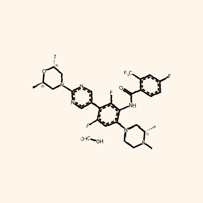 C[C@@H]1CN(c2ncc(-c3c(F)cc(N4CCN(C)[C@@H](C)C4)c(NC(=O)c4ccc(F)cc4C(F)(F)F)c3F)cn2)C[C@@H](C)O1.O=CO